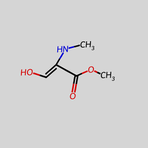 CN/C(=C\O)C(=O)OC